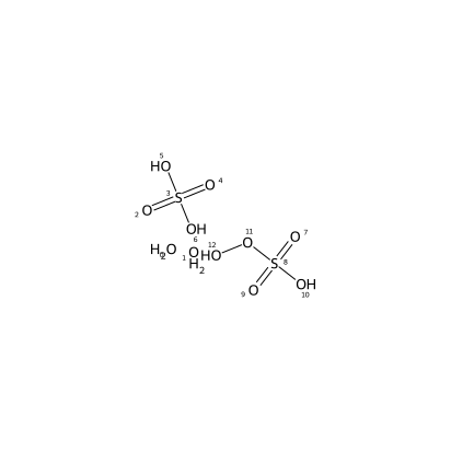 O.O.O=S(=O)(O)O.O=S(=O)(O)OO